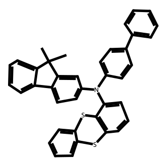 CC1(C)c2ccccc2-c2ccc(N(c3ccc(-c4ccccc4)cc3)c3cccc4c3Sc3ccccc3S4)cc21